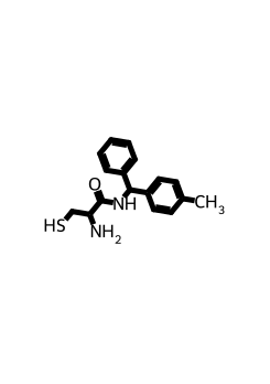 Cc1ccc(C(NC(=O)C(N)CS)c2ccccc2)cc1